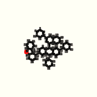 c1ccc(-c2cc(-c3c4ccc(-c5cccc6oc7ccccc7c56)cc4c(-c4ccccc4)c4ccc(-c5ccccc5)cc34)c3ccccc3c2)cc1